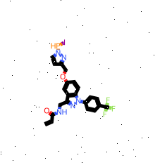 C=CC(=O)NCc1nn(-c2ccc(C(F)(F)F)cc2)c2ccc(OCc3ccn(PI)n3)cc12